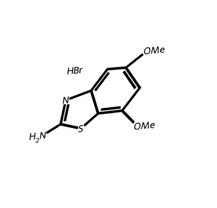 Br.COc1cc(OC)c2sc(N)nc2c1